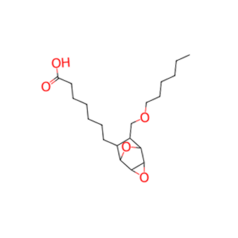 CCCCCCOCC1C(CCCCCCC(=O)O)C2OC1C1OC21